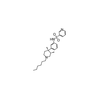 CCCCCCN1CC[C@](C)(c2cccc(NS(=O)(=O)c3cccnc3)c2)[C@@H](C)C1